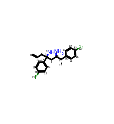 C=CCC(N)(CC(N)[C@@H](C)c1ccc(Br)cc1)c1ccc(F)cc1